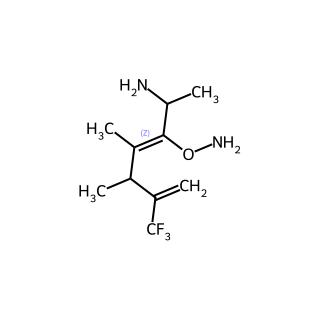 C=C(C(C)/C(C)=C(\ON)C(C)N)C(F)(F)F